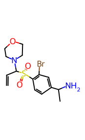 C=CC(N1CCOCC1)S(=O)(=O)c1ccc(C(C)N)cc1Br